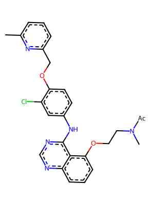 CC(=O)N(C)CCOc1cccc2ncnc(Nc3ccc(OCc4cccc(C)n4)c(Cl)c3)c12